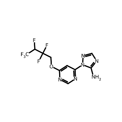 Nc1ncnn1-c1cc(OCC(F)(F)C(F)C(F)(F)F)ncn1